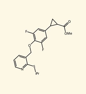 COC(=O)C1CC1c1cc(F)c(OCc2cccnc2SC(C)C)c(F)c1